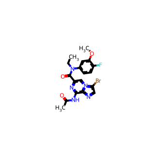 CCN(C(=O)c1cn2c(Br)cnc2c(NC(C)=O)n1)c1ccc(F)c(OC)c1